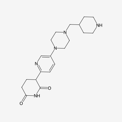 O=C1CCC(c2ccc(N3CCN(CC4CCNCC4)CC3)cn2)C(=O)N1